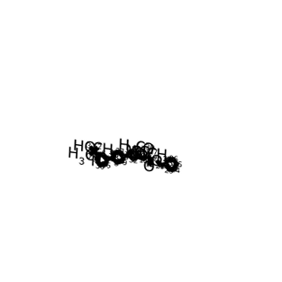 CC(C)(O)c1cc(-c2ccc(C3=NOC(C[C@](C)(C(=O)OCc4ccccc4)S(C)(=O)=O)C3)cc2)ccn1